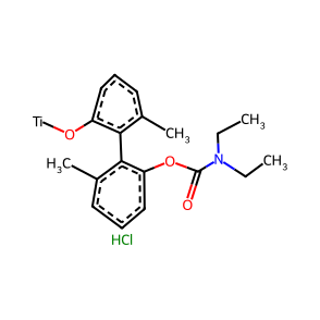 CCN(CC)C(=O)Oc1cccc(C)c1-c1c(C)cccc1[O][Ti].Cl